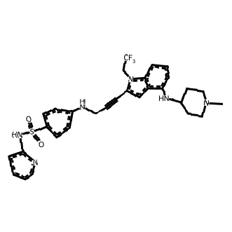 CN1CCC(Nc2cccc3c2cc(C#CCNc2ccc(S(=O)(=O)Nc4ccccn4)cc2)n3CC(F)(F)F)CC1